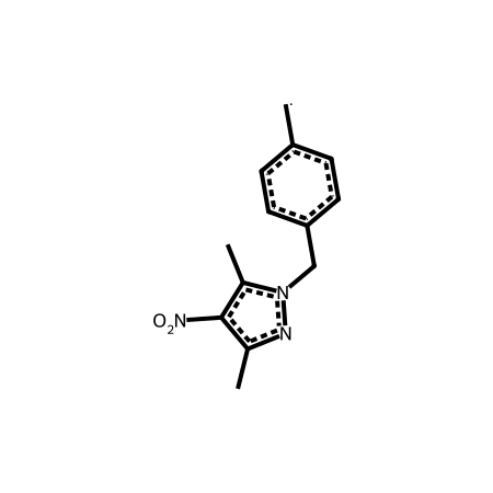 [CH2]c1ccc(Cn2nc(C)c([N+](=O)[O-])c2C)cc1